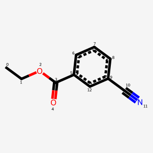 CCOC(=O)c1cccc(C#N)c1